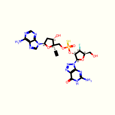 C#C[C@]1(COP(=O)(S)O[C@@H]2[C@@H](F)[C@@H](CO)O[C@H]2n2nnc3c(=O)[nH]c(N)nc32)O[C@@H](n2cnc3c(N)ncnc32)C[C@@H]1O